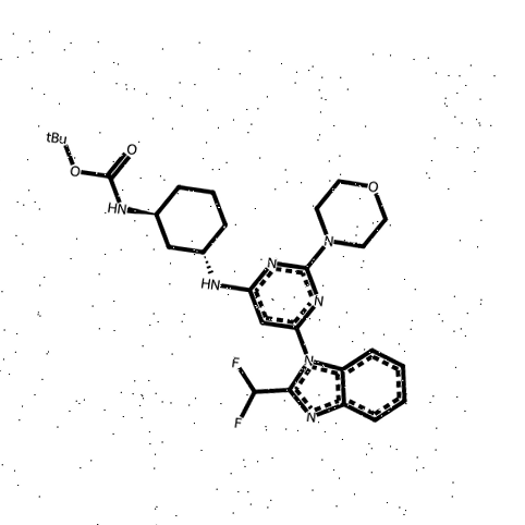 CC(C)(C)OC(=O)N[C@H]1CCC[C@H](Nc2cc(-n3c(C(F)F)nc4ccccc43)nc(N3CCOCC3)n2)C1